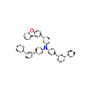 c1ccc(-c2cccc(-c3ccc(N(c4ccc(-c5cccc(-c6ccccc6)c5)cc4)c4cccc(-c5ccc6oc7ccccc7c6c5)c4)cc3)c2)cc1